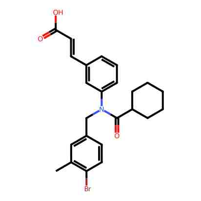 Cc1cc(CN(C(=O)C2CCCCC2)c2cccc(C=CC(=O)O)c2)ccc1Br